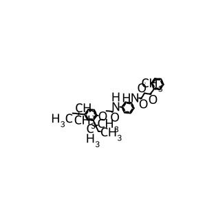 CCC(C)(C)c1ccc(OCC(=O)Nc2cccc(NC(=O)C(OC)C(=O)c3ccccc3)c2)c(C(C)(C)CC)c1